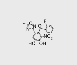 Cc1nc(-c2cc(O)c(O)c([N+](=O)[O-])c2C(=O)c2ccccc2F)no1